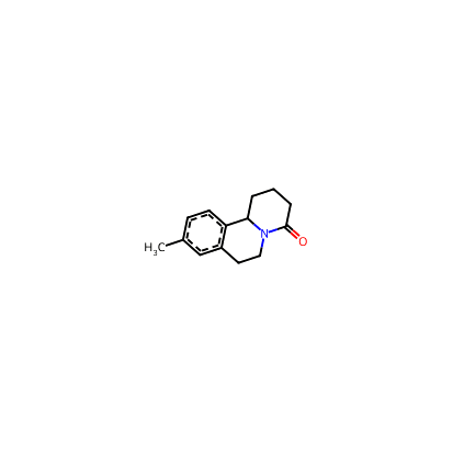 Cc1ccc2c(c1)CCN1C(=O)CCCC21